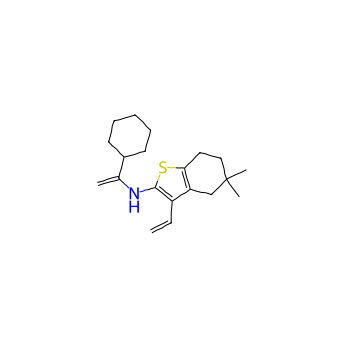 C=Cc1c(NC(=C)C2CCCCC2)sc2c1CC(C)(C)CC2